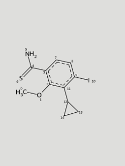 COc1c(C(N)=S)ccc(I)c1C1CC1